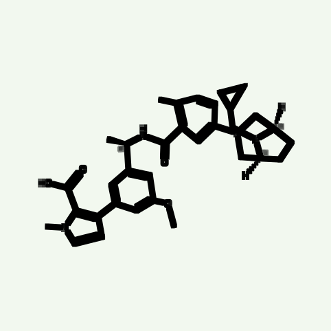 COc1cc(-c2ccn(C)c2C(=O)O)cc([C@@H](C)NC(=O)c2cc(N3C[C@H]4CC[C@@H](C3)N4CC3CC3)ccc2C)c1